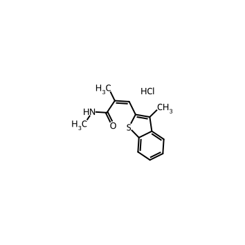 CNC(=O)C(C)=Cc1sc2ccccc2c1C.Cl